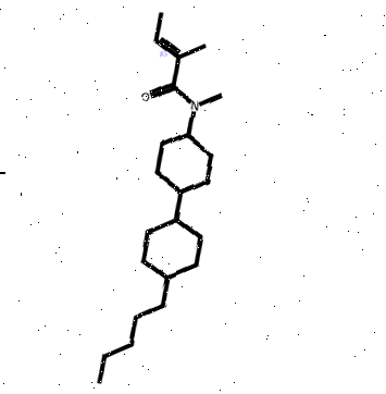 C/C=C(\C)C(=O)N(C)C1CCC(C2CCC(CCCCC)CC2)CC1